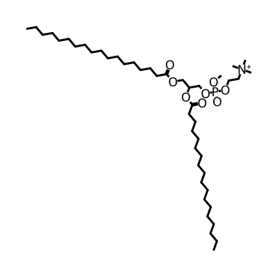 CCCCCCCCCCCCCCCCCC(=O)OCC(COP(=O)(OC)OCC[N+](C)(C)C)OC(=O)CCCCCCCCCCCCCCCCC